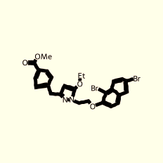 CCOc1cc(Cc2ccc(C(=O)OC)cc2)nn1CCOc1ccc2cc(Br)ccc2c1Br